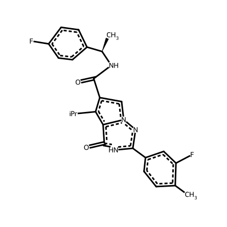 Cc1ccc(-c2nn3cc(C(=O)N[C@H](C)c4ccc(F)cc4)c(C(C)C)c3c(=O)[nH]2)cc1F